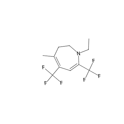 CCN1CCC(C)=C(C(F)(F)F)C=C1C(F)(F)F